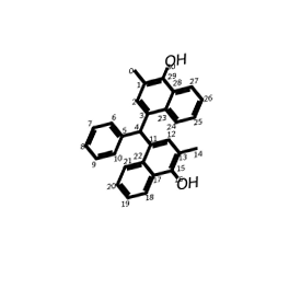 Cc1cc(C(c2ccccc2)c2cc(C)c(O)c3ccccc23)c2ccccc2c1O